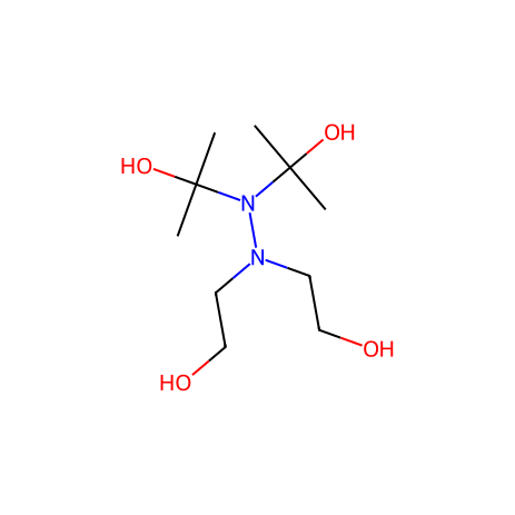 CC(C)(O)N(N(CCO)CCO)C(C)(C)O